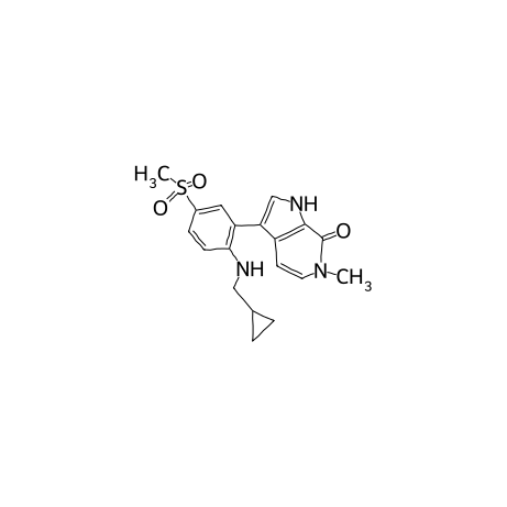 Cn1ccc2c(-c3cc(S(C)(=O)=O)ccc3NCC3CC3)c[nH]c2c1=O